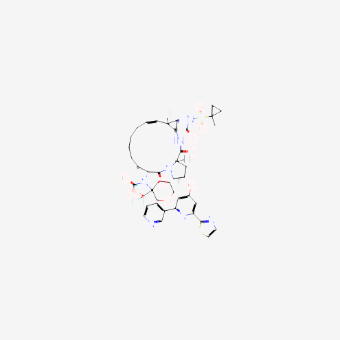 C[C@@H]1CCC=C[C@@H]2C[C@@]2(C(=O)NS(=O)(=O)C2(C)CC2)NC(=O)[C@@H]2C[C@@H](Oc3cc(-c4cccnc4)nc(-c4nccs4)c3)CN2C(=O)[C@@H](N(C(=O)O)C2(C(F)(F)F)CCCOC2)[C@H](C)C1